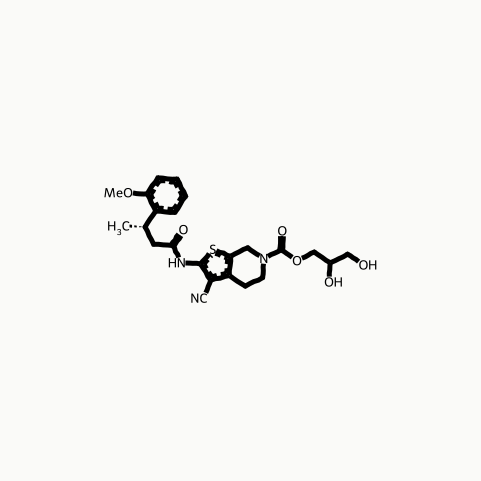 COc1ccccc1[C@@H](C)CC(=O)Nc1sc2c(c1C#N)CCN(C(=O)OCC(O)CO)C2